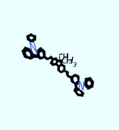 CC1(C)c2cc(/C=C/c3ccc4c(c3)c3ccccc3n4-c3ccccc3)ccc2C2=CCC(/C=C/C3=Cc4c(n(-c5ccccc5)c5ccccc45)CC3)CC21